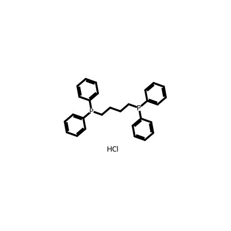 Cl.c1ccc(P(CCCCP(c2ccccc2)c2ccccc2)c2ccccc2)cc1